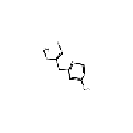 OCC(=CF)Cc1cccc(C(F)(F)F)c1